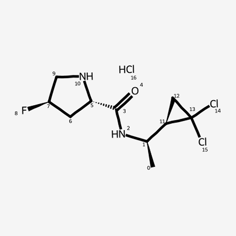 C[C@@H](NC(=O)[C@@H]1C[C@@H](F)CN1)[C@H]1CC1(Cl)Cl.Cl